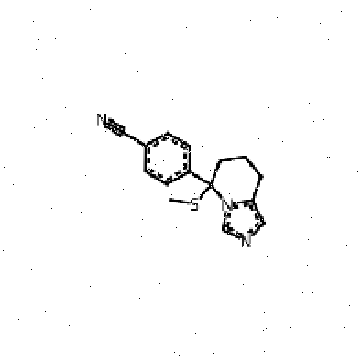 CSC1(c2ccc(C#N)cc2)CCCc2cncn21